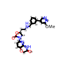 COc1cc(-c2cccc(CNCC[C@H]3CN(c4ccc5c(n4)NC(=O)CO5)C(=O)O3)c2)cnn1